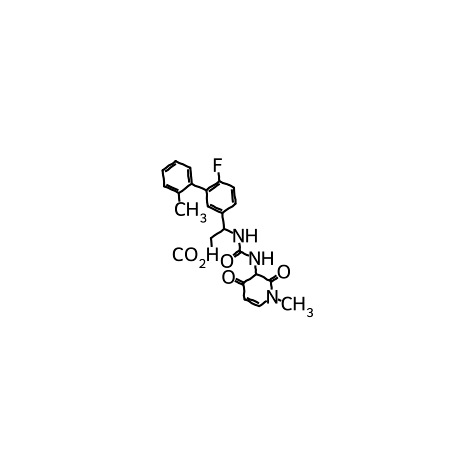 Cc1ccccc1-c1cc(C(CC(=O)O)NC(=O)NC2C(=O)C=CN(C)C2=O)ccc1F